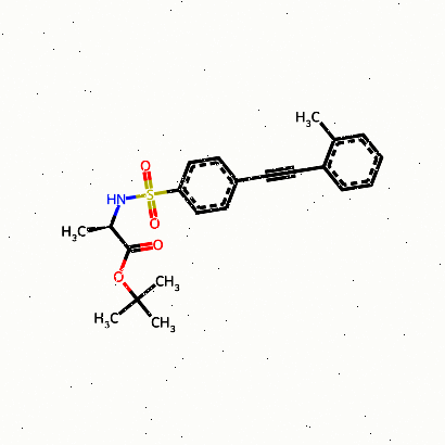 Cc1ccccc1C#Cc1ccc(S(=O)(=O)N[C@H](C)C(=O)OC(C)(C)C)cc1